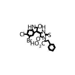 O=C1Nc2cc(Cl)c(Br)cc2/C1=C1/NC(=S)N(C(Cc2ccccc2)C(=O)O)C1=O